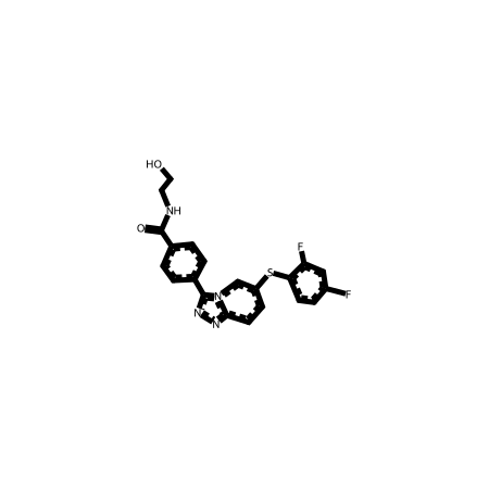 O=C(NCCO)c1ccc(-c2nnc3ccc(Sc4ccc(F)cc4F)cn23)cc1